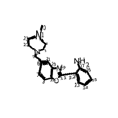 CN1CCN(Cc2ccc3oc(-c4ccccc4N)nc3c2)CC1